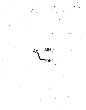 CCCCC(C)=O.[AlH3]